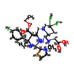 CCOC(=O)C1=C(CN2CC(F)(F)CC2CN(C)CC(=O)O)NC(c2nccs2)=N[C@@]1(C)c1ccc(F)cc1